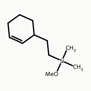 CO[Si](C)(C)CCC1C=CCCC1